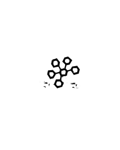 O=P(O)(O)O.O=P(O)(O)O.Oc1ccc(-c2c(-c3ccccc3)c(-c3ccccc3)c(O)c(-c3ccccc3)c2-c2ccccc2)cc1